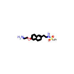 CCCS(=O)(=O)NCCc1ccc2cc(OCCN)ccc2c1